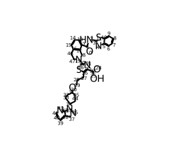 O=C(Nc1nc2ccccc2s1)c1cccc2c1CN(c1nc(C(=O)O)c(CCCOC3CCC(n4ncc5cccnc54)CC3)s1)CC2